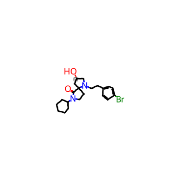 O=C1N(C2CCCCC2)CCC12C[C@@H](O)CN2CCc1ccc(Br)cc1